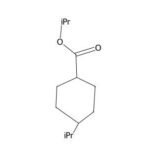 CC(C)OC(=O)C1CCC(C(C)C)CC1